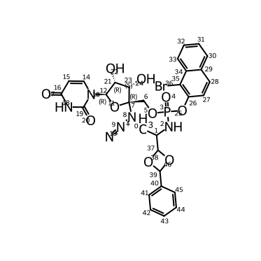 CC(NP(=O)(OC[C@@]1(N=[N+]=[N-])O[C@@H](n2ccc(=O)[nH]c2=O)[C@H](O)[C@@H]1O)Oc1ccc2ccccc2c1Br)C1OC(c2ccccc2)O1